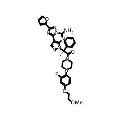 COCCOc1ccc(N2CCN(C(=O)[C@](C)(c3ccccc3)n3ncc4c3nc(N)n3nc(-c5ccco5)nc43)CC2)c(F)c1